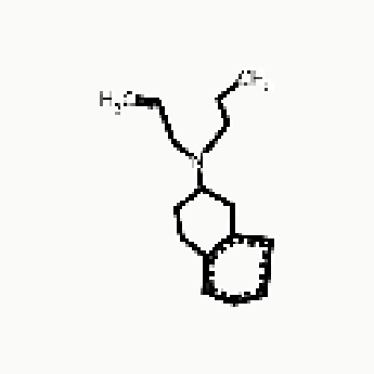 C=CCN(CCC)C1CCc2ccccc2C1